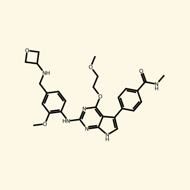 CNC(=O)c1ccc(-c2c[nH]c3nc(Nc4ccc(CNC5COC5)cc4OC)nc(OCCOC)c23)cc1